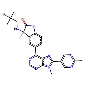 Cc1ncc(-c2nc3c(-c4ccc5c(c4)[C@@](C)(NCC(C)(C)F)C(=O)N5)ncnc3n2C)cn1